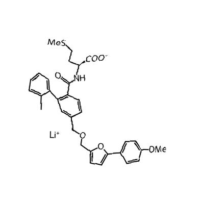 COc1ccc(-c2ccc(COCc3ccc(C(=O)N[C@@H](CCSC)C(=O)[O-])c(-c4ccccc4C)c3)o2)cc1.[Li+]